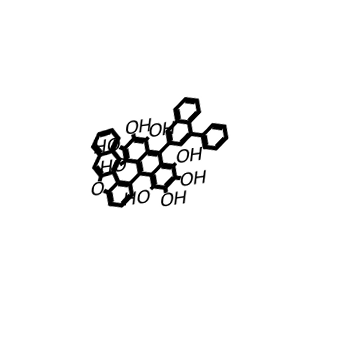 Oc1c(O)c(O)c2c(-c3cccc4oc5cc6ccccc6cc5c34)c3c(O)c(O)c(O)c(O)c3c(-c3cc(-c4ccccc4)c4ccccc4c3)c2c1O